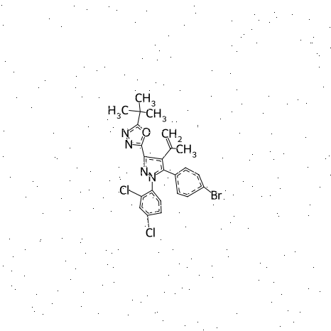 C=C(C)c1c(-c2nnc(C(C)(C)C)o2)nn(-c2ccc(Cl)cc2Cl)c1-c1ccc(Br)cc1